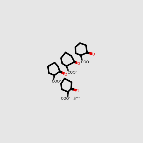 O=C([O-])C1CCCCC1=O.O=C([O-])C1CCCCC1=O.O=C([O-])C1CCCCC1=O.O=C([O-])C1CCCCC1=O.[Zr+4]